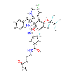 CC(=O)CCCNC(=O)[C@H]1CC[C@@H](NC(=O)N[C@@](Cc2ccccc2)(c2cc(F)cc(OC(F)(F)C(F)F)c2)c2ccc(Cl)cn2)C1